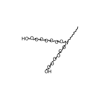 CCCCCCCCCCCCN(CCOCCOCCOCCOCCOCCOCCO)CCOCCOCCOCCOCCOCCOCCOCCO